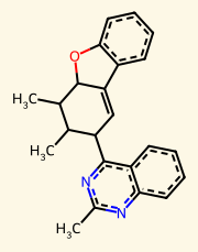 Cc1nc(C2C=C3c4ccccc4OC3C(C)C2C)c2ccccc2n1